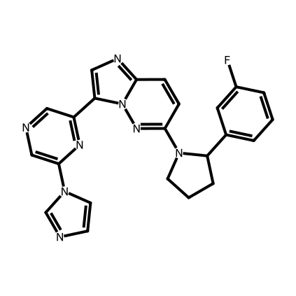 Fc1cccc(C2CCCN2c2ccc3ncc(-c4cncc(-n5ccnc5)n4)n3n2)c1